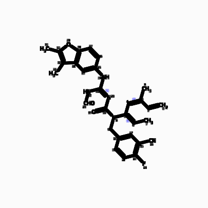 C=C/C(C)=C\C(=C/C)N(Cc1ccc(F)c(C#N)c1)C(=O)/N=C(\NC=O)Nc1ccc2oc(C)c(C)c2c1